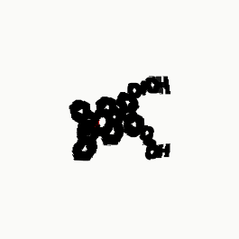 OCCOc1ccc(C2(c3ccc(OCCO)cc3)c3cccc(-c4cccc5ccccc45)c3-c3c(-c4cccc5ccccc45)cccc32)cc1